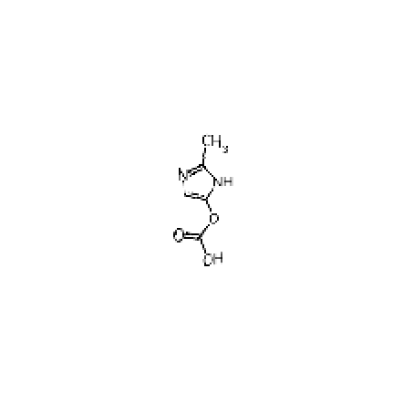 Cc1ncc(OC(=O)O)[nH]1